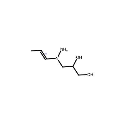 C/C=C/N(N)CC(O)CO